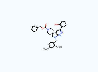 COc1ccc(CN2CC3(CCN(C(=O)OCc4ccccc4)CC3)c3cc(-c4ccccc4O)nnc32)c(OC)c1